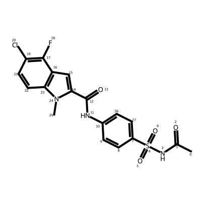 CC(=O)NS(=O)(=O)c1ccc(NC(=O)c2cc3c(F)c(Cl)ccc3n2C)cc1